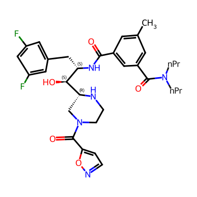 CCCN(CCC)C(=O)c1cc(C)cc(C(=O)N[C@@H](Cc2cc(F)cc(F)c2)[C@H](O)[C@H]2CN(C(=O)c3ccno3)CCN2)c1